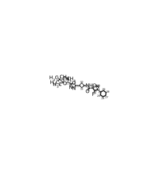 C[C@@H](O[Si](C)(C)C(C)(C)C)c1nnc(C2CC(NC(=O)c3onc(-c4ccccc4)c3F)C2)o1